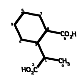 CC(C(=O)O)C1CC[CH]CC1C(=O)O